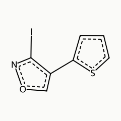 Ic1nocc1-c1cccs1